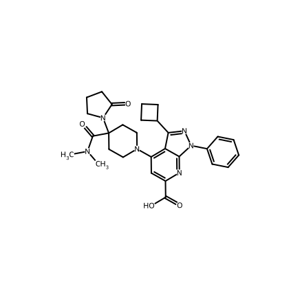 CN(C)C(=O)C1(N2CCCC2=O)CCN(c2cc(C(=O)O)nc3c2c(C2CCC2)nn3-c2ccccc2)CC1